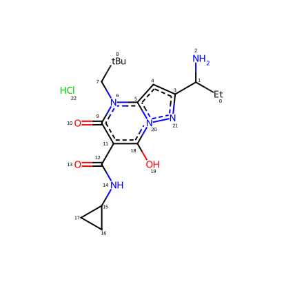 CCC(N)c1cc2n(CC(C)(C)C)c(=O)c(C(=O)NC3CC3)c(O)n2n1.Cl